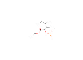 CCCC.CCOC(=O)C(CC)O[PH](=O)O